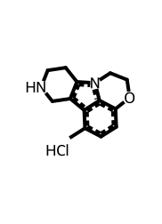 Cc1ccc2c3c1c1c(n3CCO2)CCNC1.Cl